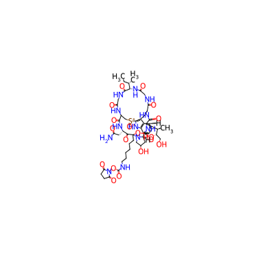 CC[C@H](C)[C@@H]1NC(=O)CNC(=O)C2Cc3c4[nH]c5cc(ccc35)OC(CCCCCCNC(=O)ON3C(=O)CCC3=O)(C(=O)[C@H](CC(N)=O)NC(=O)C(C[S+]4[O-])NC(=O)CNC1=O)N1CC(O)C[C@H]1C(=O)N[C@@H]([C@@H](C)[C@@H](O)CO)C(=O)N2